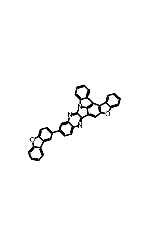 c1ccc2c(c1)oc1ccc(-c3ccc4nc5c6cc7oc8ccccc8c7c7c8ccccc8n(c5nc4c3)c67)cc12